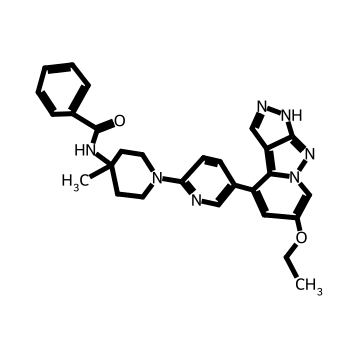 CCOc1cc(-c2ccc(N3CCC(C)(NC(=O)c4ccccc4)CC3)nc2)c2c3cn[nH]c3nn2c1